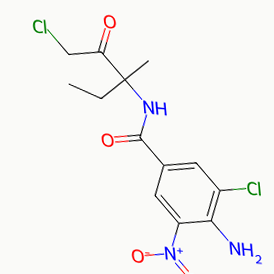 CCC(C)(NC(=O)c1cc(Cl)c(N)c([N+](=O)[O-])c1)C(=O)CCl